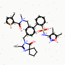 CCCCC1=NC2(CCCC2)C(=O)N1Cc1ccc(-c2ccccc2S(=O)(=O)Nc2noc(C)c2C)c(CN(C)C(=O)c2sccc2C)c1